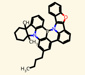 CCCCc1cc2c3c(c1)N1c4c(cccc4C4(C)CCCCC14C)B3n1c3c-2cccc3c2oc3ccccc3c21